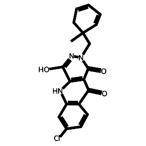 CC1(Cn2nc(O)c3[nH]c4cc(Cl)ccc4c(=O)c3c2=O)C=CC=CC1